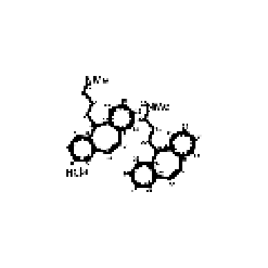 CNCCCC1c2ccccc2C=Cc2ccccc21.CNCCCC1c2ccccc2C=Cc2ccccc21.Cl